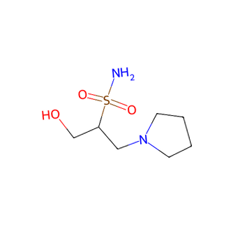 NS(=O)(=O)C(CO)CN1CCCC1